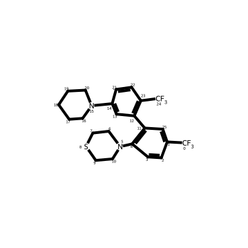 FC(F)(F)c1ccc(N2CCSCC2)c(-c2cc(N3CCCCC3)[c]cc2C(F)(F)F)c1